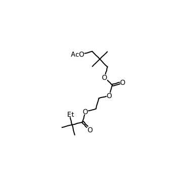 CCC(C)(C)C(=O)OCCOC(=O)OCC(C)(C)COC(C)=O